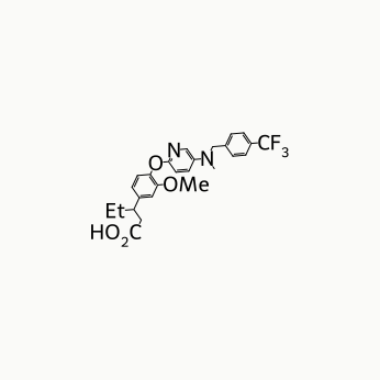 CCC(CC(=O)O)c1ccc(Oc2ccc(N(C)Cc3ccc(C(F)(F)F)cc3)cn2)c(OC)c1